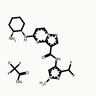 Cn1cc(NC(=O)c2cnn3ccc(N[C@@H]4CCCC[C@@H]4N)nc23)c(C(F)F)n1.O=C(O)C(F)(F)F